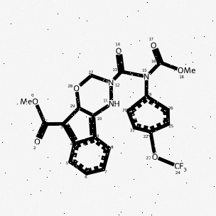 COC(=O)C1=c2ccccc2=C2NN(C(=O)N(C(=O)OC)c3ccc(OC(F)(F)F)cc3)COC21